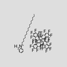 CCCCCCCCCCCCCCCCCC[NH2+]c1ccccc1.Fc1c(F)c(F)c2c(F)c([B-](c3c(F)c(F)c4c(F)c(F)c(F)c(F)c4c3F)(c3c(F)c(F)c4c(F)c(F)c(F)c(F)c4c3F)c3c(F)c(F)c4c(F)c(F)c(F)c(F)c4c3F)c(F)c(F)c2c1F